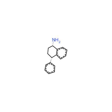 N[C@H]1CC[C@@H](c2ccccc2)c2ccccc21